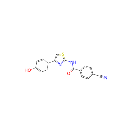 N#Cc1ccc(C(=O)Nc2nc(C3C=CC(O)=CC3)cs2)cc1